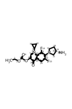 CCOC(=O)Oc1cn(C2CC2)c2c(F)c(N3CC[C@H](N)C3)c(F)cc2c1=O